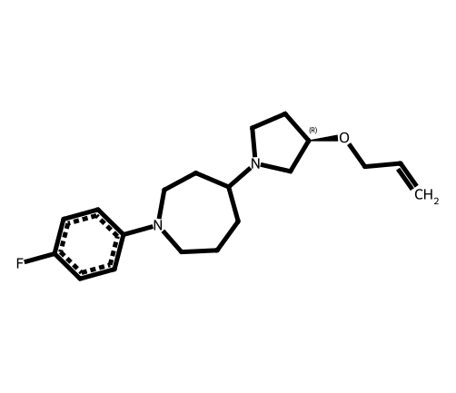 C=CCO[C@@H]1CCN(C2CCCN(c3ccc(F)cc3)CC2)C1